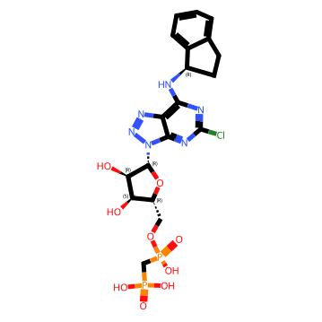 O=P(O)(O)CP(=O)(O)OC[C@H]1O[C@@H](n2nnc3c(N[C@@H]4CCc5ccccc54)nc(Cl)nc32)[C@H](O)[C@@H]1O